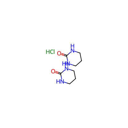 Cl.O=C1NCCCN1.O=C1NCCCN1